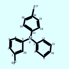 Fc1cccc(N(c2ccccc2)c2ccc(I)cc2)c1